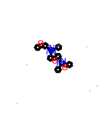 c1ccc(-c2nc(-c3ccc4oc5ccccc5c4c3)nc(-c3cccc4oc5c(-c6nc(-c7ccccc7)c7oc8ccccc8c7n6)cccc5c34)n2)cc1